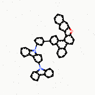 c1cc(-c2ccc3c(c2)c2ccccc2c2ccc4oc5cc6ccccc6cc5c4c23)cc(-n2c3ccccc3c3cc(-n4c5ccccc5c5ccccc54)ccc32)c1